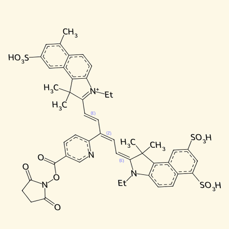 CCN1/C(=C/C=C(/C=C/C2=[N+](CC)c3ccc4c(C)cc(S(=O)(=O)O)cc4c3C2(C)C)c2ccc(C(=O)ON3C(=O)CCC3=O)cn2)C(C)(C)c2c1ccc1c(S(=O)(=O)O)cc(S(=O)(=O)O)cc21